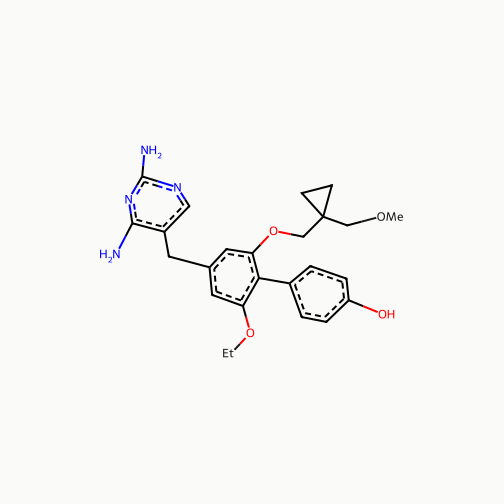 CCOc1cc(Cc2cnc(N)nc2N)cc(OCC2(COC)CC2)c1-c1ccc(O)cc1